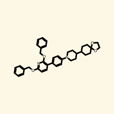 c1ccc(COc2ccc(-c3ccc(N4CCC(C5CCC6(CC5)OCCO6)CC4)cc3)c(OCc3ccccc3)n2)cc1